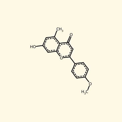 COc1ccc(-c2cc(=O)c3c(C)cc(O)cc3o2)cc1